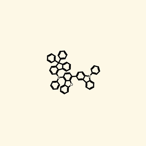 c1ccc(N(c2cccc3c2-c2ccccc2C3(c2ccccc2)c2ccccc2)c2ccc(-c3ccc4c(c3)c3ccccc3n4-c3ccccc3)c3oc4ccccc4c23)cc1